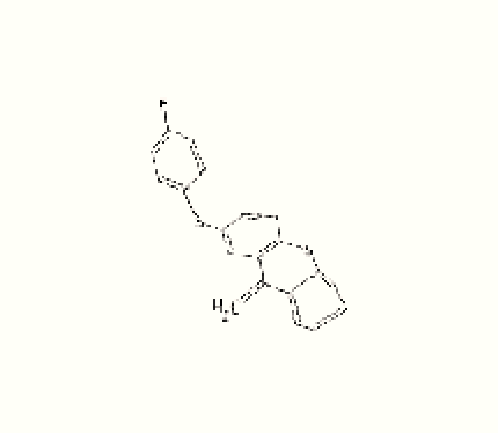 C=C1c2ccccc2Sc2ccc(Sc3ccc(F)cc3)cc21